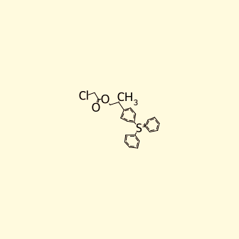 CC(COC(=O)CCl)c1ccc([S+](c2ccccc2)c2ccccc2)cc1